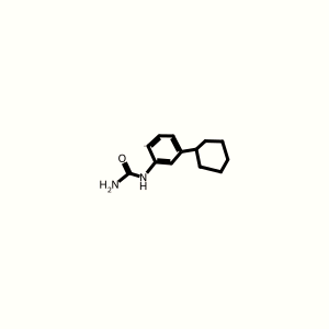 NC(=O)Nc1[c]ccc(C2CCCCC2)c1